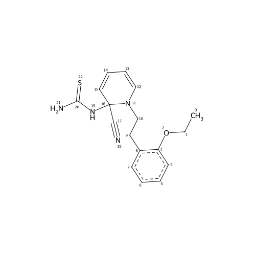 CCOc1ccccc1CCN1C=CC=CC1(C#N)NC(N)=S